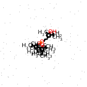 C=C(C)c1cc(CCCOp2oc3cc(C(C)(C)C)cc(C(C)(C)C)c3c3cc(C(C)(C)C)cc(C(C)(C)C)c3o2)cc(C)c1O